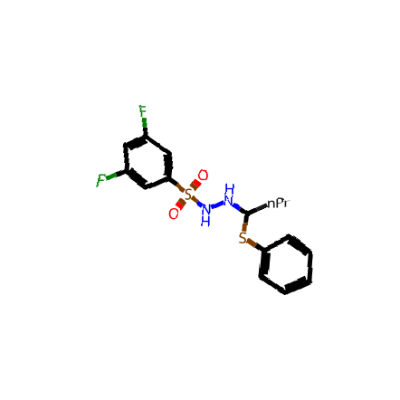 CCCC(NNS(=O)(=O)c1cc(F)cc(F)c1)Sc1ccccc1